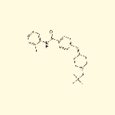 Cc1ccccc1NC(=O)c1ccc(C=C2CCN(CC(C)(C)C)CC2)cc1